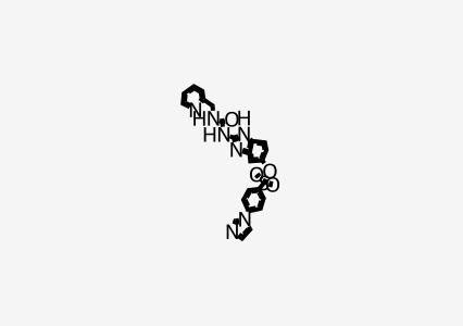 O=C(NCc1ccccn1)Nc1nc2cc(OS(=O)(=O)c3ccc(-n4ccnc4)cc3)ccc2[nH]1